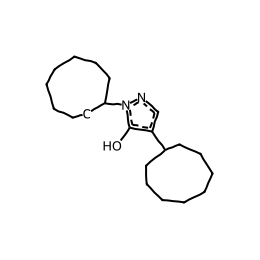 Oc1c(C2CCCCCCCC2)cnn1C1CCCCCCCC1